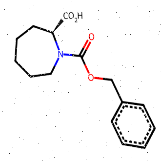 O=C(O)[C@@H]1CCCCCN1C(=O)OCc1ccccc1